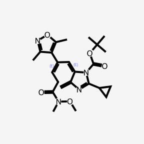 C=c1nc(C2CC2)n(C(=O)OC(C)(C)C)/c1=C/C(=C\CC(=O)N(C)OC)c1c(C)noc1C